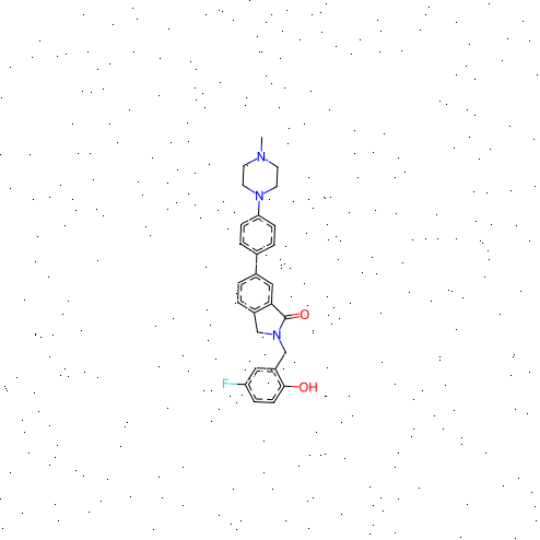 CN1CCN(c2ccc(-c3ccc4c(c3)C(=O)N(Cc3cc(F)ccc3O)C4)cc2)CC1